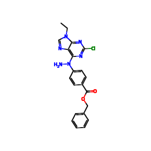 CCn1cnc2c(N(N)c3ccc(C(=O)OCc4ccccc4)cc3)nc(Cl)nc21